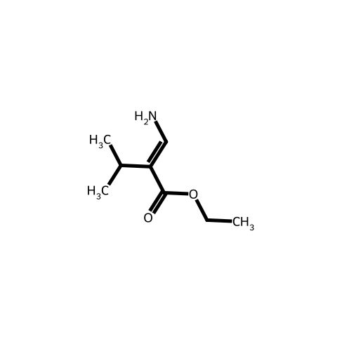 CCOC(=O)C(=CN)C(C)C